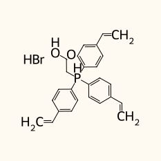 Br.C=Cc1ccc([PH](CC(=O)O)(c2ccc(C=C)cc2)c2ccc(C=C)cc2)cc1